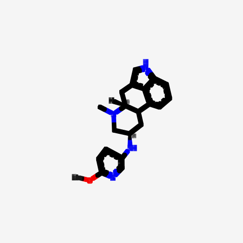 CCOc1ccc(N[C@@H]2CC3c4cccc5[nH]cc(c45)C[C@H]3N(C)C2)cn1